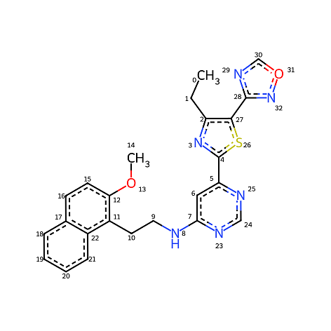 CCc1nc(-c2cc(NCCc3c(OC)ccc4ccccc34)ncn2)sc1-c1ncon1